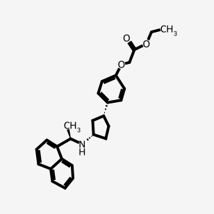 CCOC(=O)COc1ccc([C@@H]2CC[C@H](N[C@H](C)c3cccc4ccccc34)C2)cc1